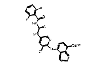 COc1ccc(Oc2ncc(NC(=S)NC(=O)c3c(F)cccc3F)cc2Cl)c2ccccc12